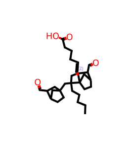 CCCCCC(C/C=C\CCCC(=O)O)(CC12CCC(C1)C(C=O)C2)C12CCC(C1)C(C=O)C2